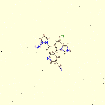 CC(c1cc(Cl)c2cncn2c1-c1cncc(C#N)c1)N1C=CCN1N